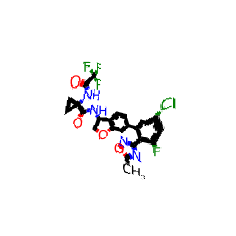 Cc1nc(-c2c(F)cc(Cl)cc2-c2ccc3c(c2)OCC3NC(=O)C2(NC(=O)C(F)(F)F)CC2)no1